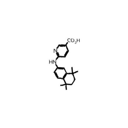 CC1(C)CCC(C)(C)c2cc(Nc3ccc(C(=O)O)cn3)ccc21